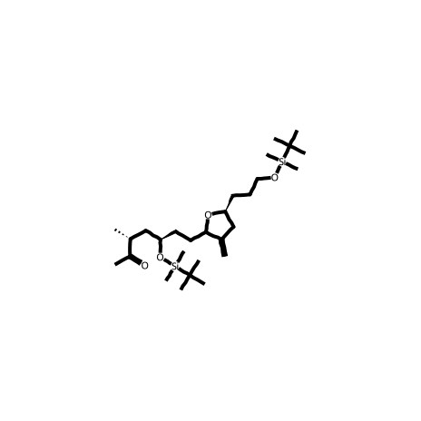 C=C1C[C@H](CCCO[Si](C)(C)C(C)(C)C)OC1CC[C@H](C[C@@H](C)C(C)=O)O[Si](C)(C)C(C)(C)C